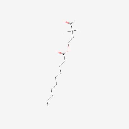 CCCCCCCCCC(=O)OCCC(C)(C)C(=O)Cl